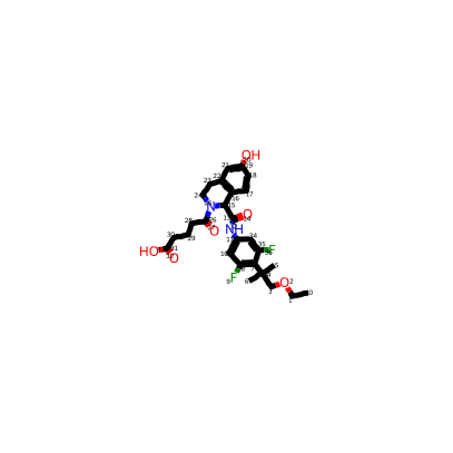 CCOCC(C)(C)c1c(F)cc(NC(=O)C2c3ccc(O)cc3CCN2C(=O)CCCC(=O)O)cc1F